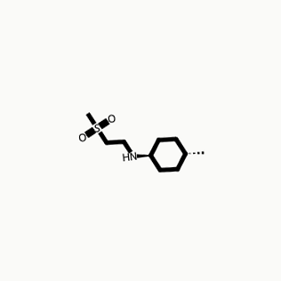 CS(=O)(=O)CCN[C@H]1CC[C@H](C)CC1